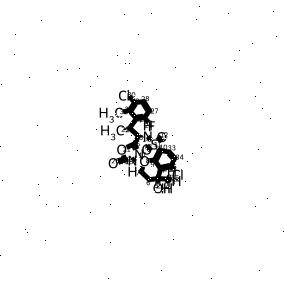 [2H]C([2H])([2H])C1(O)CCOc2c(S(=O)(=O)N[C@H](c3n[nH]c(=O)o3)[C@H](C)c3c(F)ccc(Cl)c3C)ccc(Cl)c21